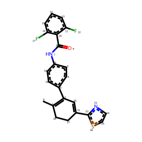 CC1=C(c2ccc(NC(=O)c3c(F)cccc3F)cc2)C=C(c2nccs2)CC1